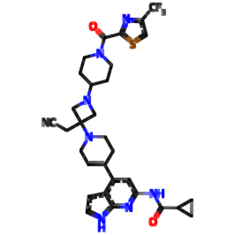 N#CCC1(N2CC=C(c3cc(NC(=O)C4CC4)nc4[nH]ccc34)CC2)CN(C2CCN(C(=O)c3nc(C(F)(F)F)cs3)CC2)C1